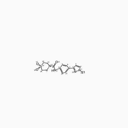 CCn1ccc(-c2ccc(NC(=O)N3CCS(=O)(=O)CC3)cc2)n1